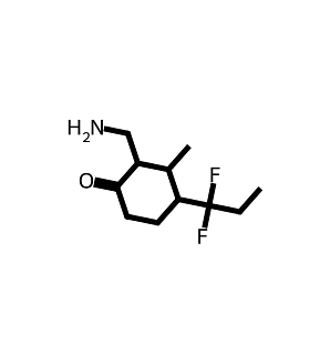 CCC(F)(F)C1CCC(=O)C(CN)C1C